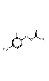 CC(=O)OOc1ccc(C)cc1Cl